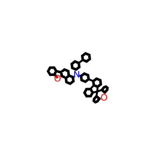 c1ccc(-c2cccc(N(c3ccc(-c4cccc5c4-c4ccccc4C54c5ccccc5Oc5ccccc54)cc3)c3cccc4c3ccc3c5ccccc5oc43)c2)cc1